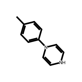 Cc1ccc(N2C=CNC=C2)cc1